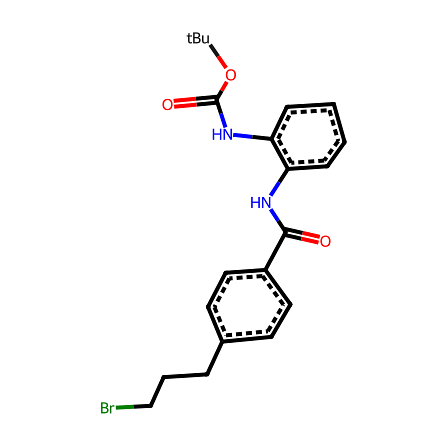 CC(C)(C)OC(=O)Nc1ccccc1NC(=O)c1ccc(CCCBr)cc1